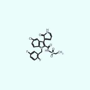 CCS(=O)(=O)NC(=O)c1c(-c2ccc[nH]c2=O)c2cc(Cl)ccc2n1Cc1cc(F)ccc1F